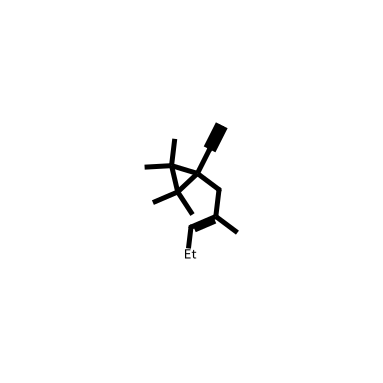 C#CC1(CC(C)=CCC)C(C)(C)C1(C)C